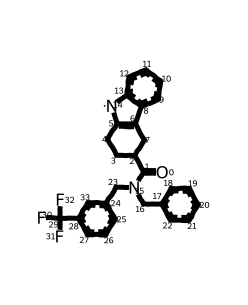 O=C(C1CCC2=C(C1)c1ccccc1[N]2)N(Cc1ccccc1)Cc1cccc(C(F)(F)F)c1